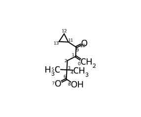 C=C(CC(C)(C)C(=O)O)C(=O)C1CC1